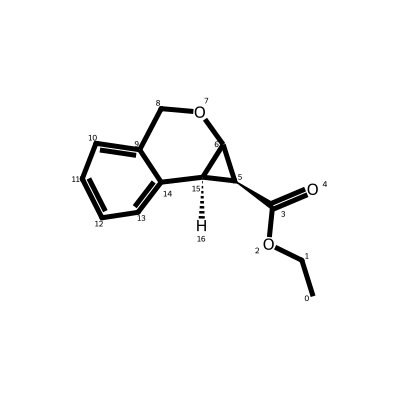 CCOC(=O)[C@@H]1C2OCc3ccccc3[C@@H]21